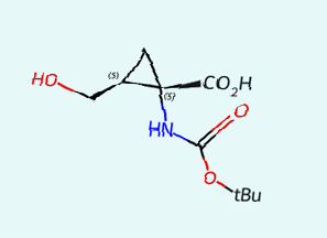 CC(C)(C)OC(=O)N[C@@]1(C(=O)O)C[C@@H]1CO